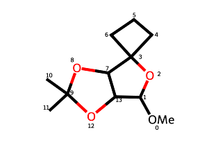 COC1OC2(CCC2)C2OC(C)(C)OC12